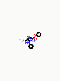 Cc1nn(-c2ccccc2)c(NNC(=O)Oc2ccccc2)c1C